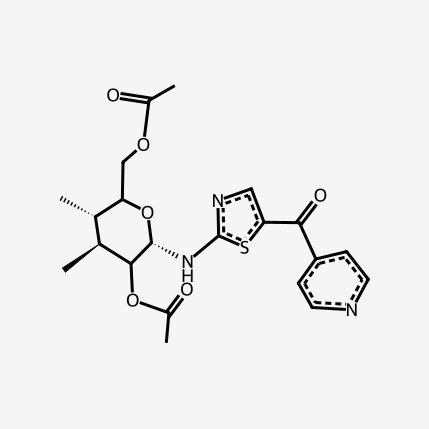 CC(=O)OCC1O[C@H](Nc2ncc(C(=O)c3ccncc3)s2)C(OC(C)=O)[C@@H](C)[C@@H]1C